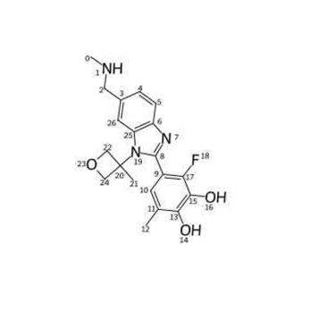 CNCc1ccc2nc(-c3cc(C)c(O)c(O)c3F)n(C3(C)COC3)c2c1